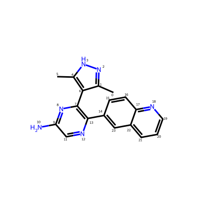 Cc1n[nH]c(C)c1-c1nc(N)cnc1-c1ccc2ncccc2c1